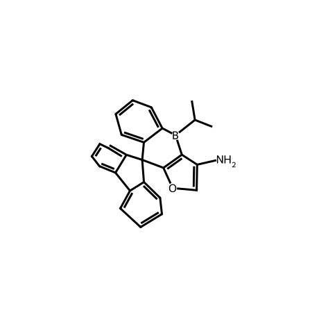 CC(C)B1c2ccccc2C2(c3ccccc3-c3ccccc32)c2occ(N)c21